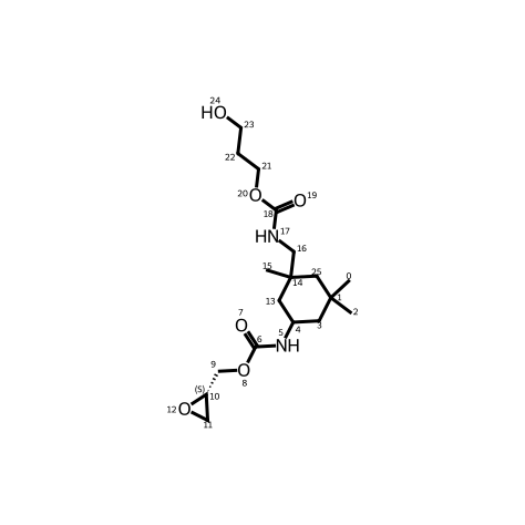 CC1(C)CC(NC(=O)OC[C@@H]2CO2)CC(C)(CNC(=O)OCCCO)C1